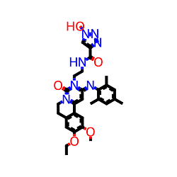 CCOc1cc2c(cc1OC)-c1c/c(=N\c3c(C)cc(C)cc3C)n(CCNC(=O)c3cn(O)nn3)c(=O)n1CC2